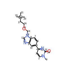 Cn1ccc(-c2ccc3c(c2)ncn3COCC[Si](C)(C)C)nc1=O